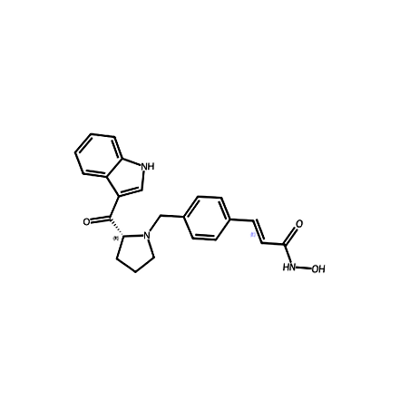 O=C(/C=C/c1ccc(CN2CCC[C@@H]2C(=O)c2c[nH]c3ccccc23)cc1)NO